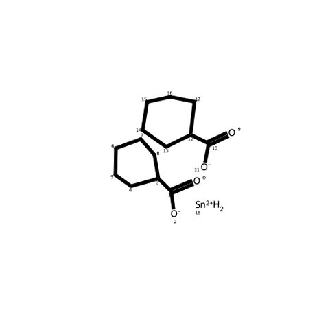 O=C([O-])C1CCCCC1.O=C([O-])C1CCCCC1.[SnH2+2]